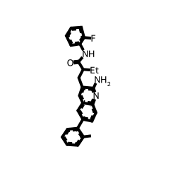 CCC(Cc1cc2cc(-c3ccccc3C)ccc2nc1N)C(=O)Nc1ccccc1F